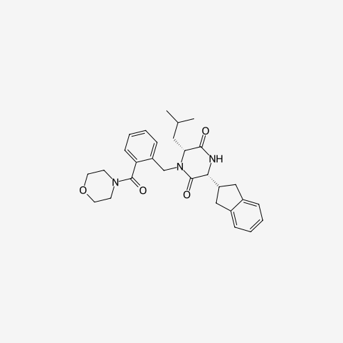 CC(C)C[C@@H]1C(=O)N[C@H](C2Cc3ccccc3C2)C(=O)N1Cc1ccccc1C(=O)N1CCOCC1